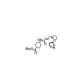 COC(=O)[C@H]1CC[C@@H](NC(=O)/C=C/CN2CCC[C@H]2c2cccnc2)CC1